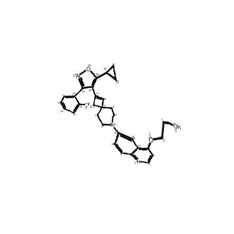 OCCOc1ccnc2ccc(N3CCC4(C=C(c5c(-c6ccccc6C(F)(F)F)noc5C5CC5)C4)CC3)cc12